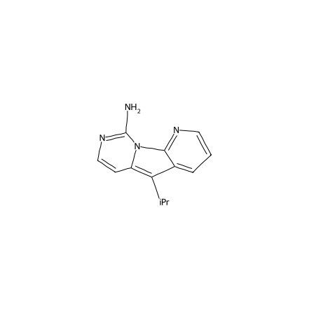 CC(C)c1c2cccnc2n2c(N)nccc12